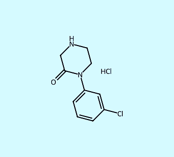 Cl.O=C1CNCCN1c1cccc(Cl)c1